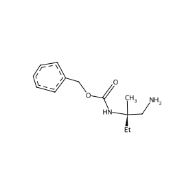 CC[C@@](C)(CN)NC(=O)OCc1ccccc1